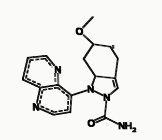 COC1[C]CC2=CN(C(N)=O)N(c3ccnc4cccnc34)C2C1